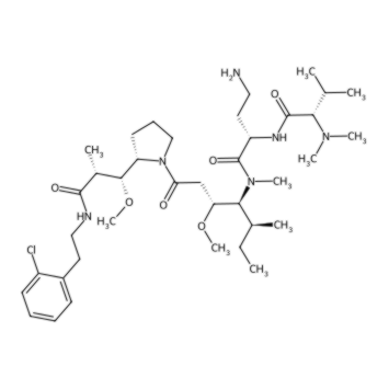 CC[C@H](C)[C@@H]([C@@H](CC(=O)N1CCC[C@H]1[C@H](OC)[C@@H](C)C(=O)NCCc1ccccc1Cl)OC)N(C)C(=O)[C@H](CCN)NC(=O)[C@H](C(C)C)N(C)C